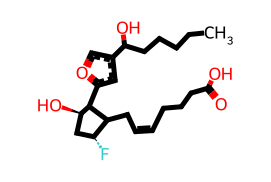 CCCCCC(O)c1coc(C2C(C/C=C\CCCC(=O)O)[C@H](F)C[C@H]2O)c1